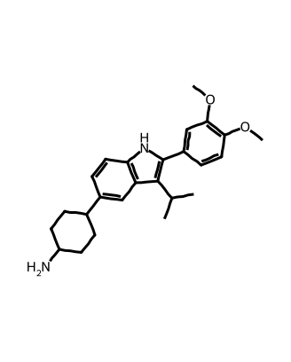 COc1ccc(-c2[nH]c3ccc(C4CCC(N)CC4)cc3c2C(C)C)cc1OC